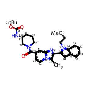 COCCn1c(-c2nc3cc(C(=O)N4CCC[C@@H](NC(=O)OC(C)(C)C)C4)ccn3c2C)cc2ccccc21